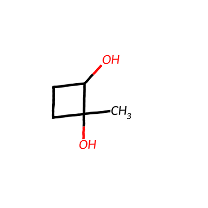 CC1(O)CCC1O